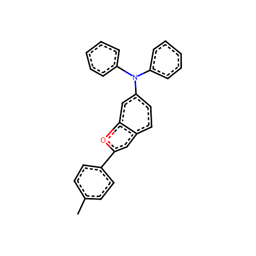 Cc1ccc(-c2cc3ccc(N(c4ccccc4)c4ccccc4)cc3o2)cc1